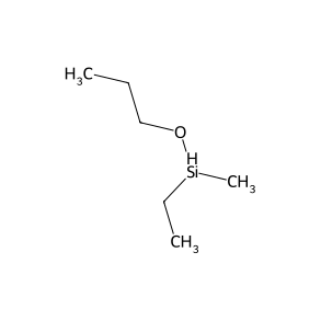 CCCO[SiH](C)CC